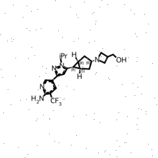 CC(C)n1nc(-c2cnc(N)c(C(F)(F)F)c2)cc1[C@H]1[C@@H]2C[C@H](N3CC(CO)C3)C[C@@H]21